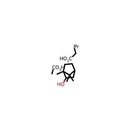 CC(=O)O.CC(C)CC(=O)O.CC1(C)C2CCC1(C)C(O)C2